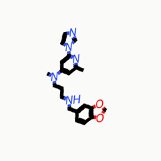 Cc1cc(N(C)CCCNCc2ccc3c(c2)OCO3)cc(-n2ccnc2)n1